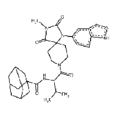 CC(C)C(NC(=O)C12CC3CC(CC(C3)C1)C2)C(=O)N1CCC2(CC1)C(=O)N(C)C(=O)N2c1ccc2[nH]ncc2c1